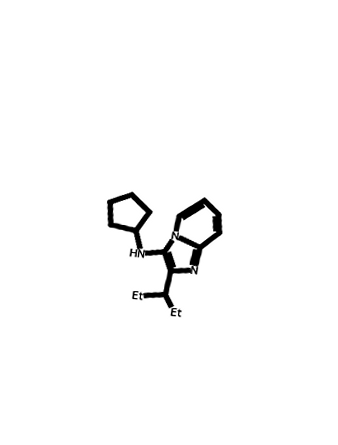 CCC(CC)c1nc2ccccn2c1NC1CCCC1